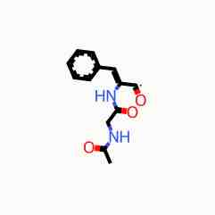 CC(=O)NCC(=O)NC([C]=O)=Cc1ccccc1